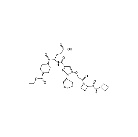 CCOC(=O)N1CCN(C(=O)C(CCC(=O)O)NC(=O)c2cc(OCC(=O)N3CCC3C(=O)NC3CCC3)n(-c3ccccc3)n2)CC1